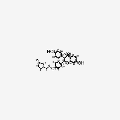 C[C@@H]1CCN(CCOc2ccc(C3Oc4cc(O)ccc4C(C)(O)C3c3ccc(O)cc3)cc2)C1